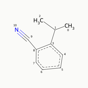 CC(C)c1ccccc1C#N